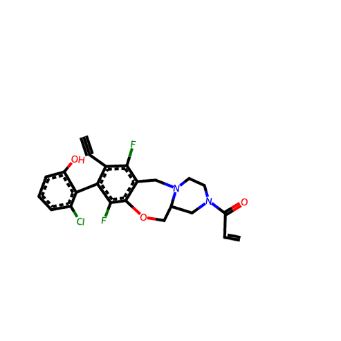 C#Cc1c(F)c2c(c(F)c1-c1c(O)cccc1Cl)OCC1CN(C(=O)C=C)CCN1C2